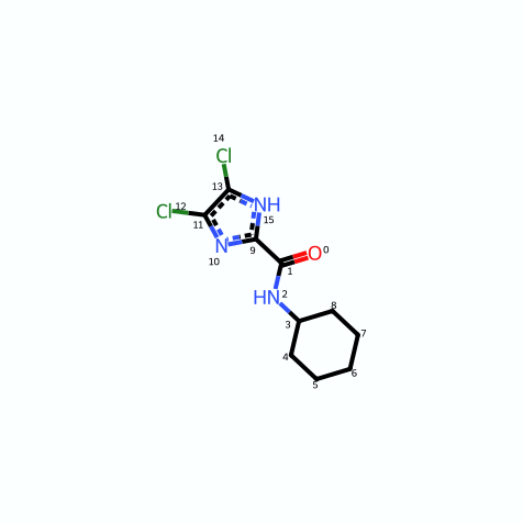 O=C(NC1CCCCC1)c1nc(Cl)c(Cl)[nH]1